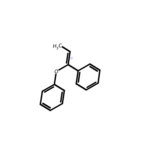 C/C=C(\Oc1ccccc1)c1ccccc1